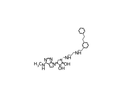 CNc1ncnc2c1ccn2[C@@H]1C[C@H](CNCCCNCCc2cccc(CCc3ccccc3)c2)[C@@H](O)[C@H]1O